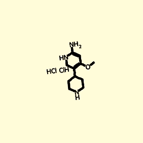 COC1=C(C2CCNCC2)CNC(N)=C1.Cl.Cl